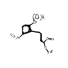 CCOC(CCc1cc([N+](=O)[O-])ccc1OC(=O)O)OCC